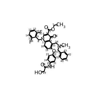 CCOC(=O)c1cn(Cc2c(F)cccc2F)c2ccc(Oc3ccc(NC(=O)CO)cc3)c(CN(C)Cc3ccccc3)c2c1=O